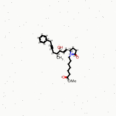 COC(=O)CCCCCCN1C(=O)CC[C@@H]1C=C[C@@H](O)[C@H](C)CC#CCc1ccccc1